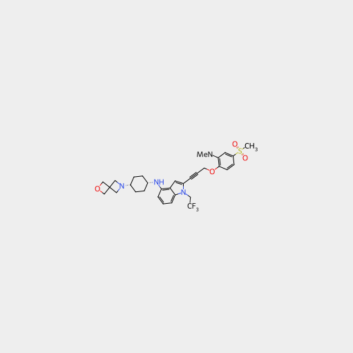 CNc1cc(S(C)(=O)=O)ccc1OCC#Cc1cc2c(N[C@H]3CC[C@@H](N4CC5(COC5)C4)CC3)cccc2n1CC(F)(F)F